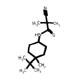 CC(C)(C#N)C(=O)NC1CCC(C)(C(C)(C)C)CC1